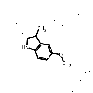 COc1ccc2c(c1)C(C)CN2